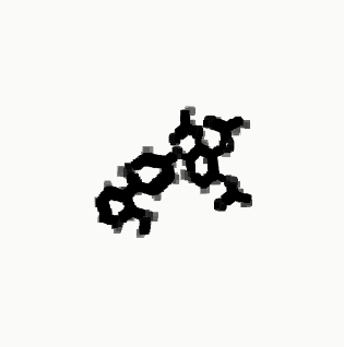 COc1ncccc1-c1ccc(O[C@H]2SC[C@@H](OC(C)=O)[C@H](OC(C)=O)[C@H]2OC(C)=O)cn1